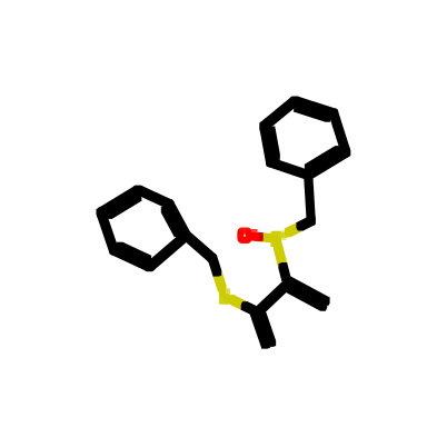 C=C(SCc1ccccc1)C(=C)[S+]([O-])Cc1ccccc1